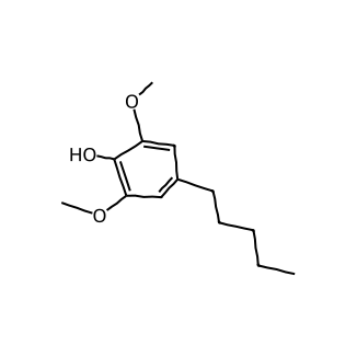 CCCCCc1cc(OC)c(O)c(OC)c1